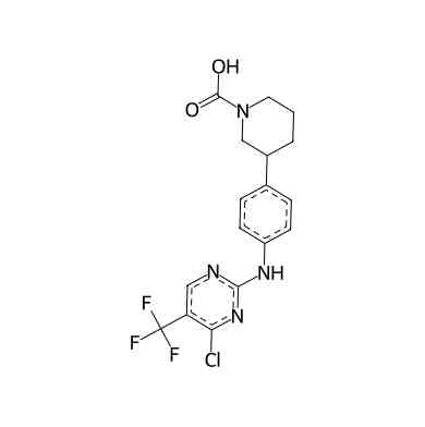 O=C(O)N1CCCC(c2ccc(Nc3ncc(C(F)(F)F)c(Cl)n3)cc2)C1